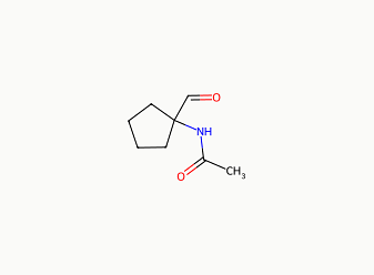 CC(=O)NC1(C=O)CCCC1